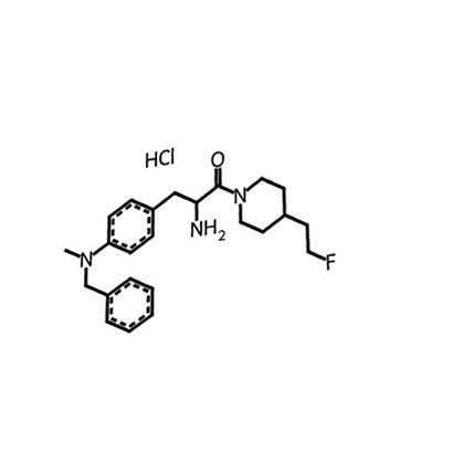 CN(Cc1ccccc1)c1ccc(CC(N)C(=O)N2CCC(CCF)CC2)cc1.Cl